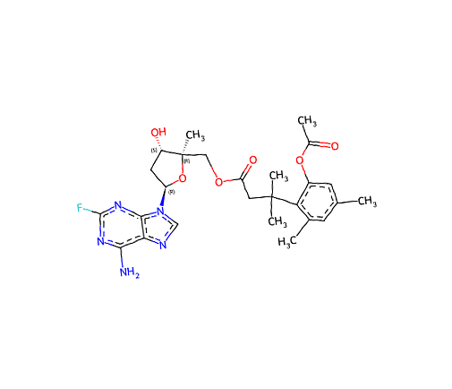 CC(=O)Oc1cc(C)cc(C)c1C(C)(C)CC(=O)OC[C@@]1(C)O[C@@H](n2cnc3c(N)nc(F)nc32)C[C@@H]1O